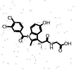 Cc1c([C@@H](C)C(=O)NCC(=O)O)c2cc(O)ccc2n1C(=O)c1ccc(Cl)c(Cl)c1